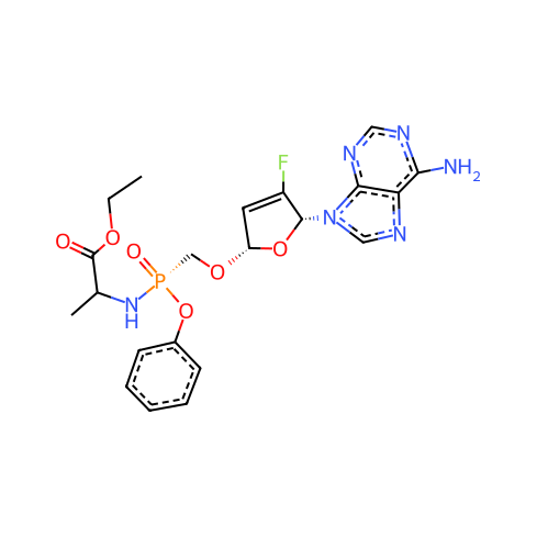 CCOC(=O)C(C)N[P@](=O)(CO[C@@H]1C=C(F)[C@H](n2cnc3c(N)ncnc32)O1)Oc1ccccc1